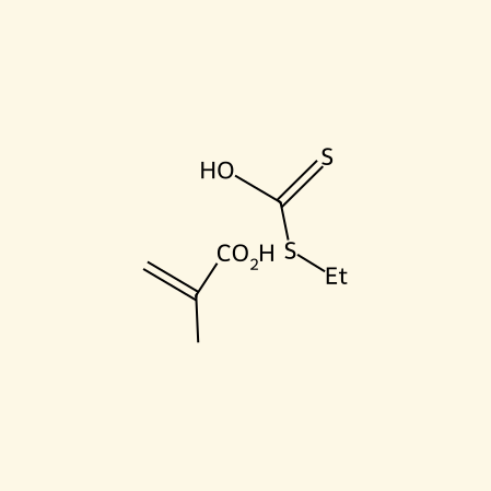 C=C(C)C(=O)O.CCSC(O)=S